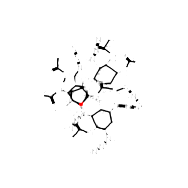 CC(=O)OC[C@H]1O[C@@H](O[C@@H]2[C@@H](OC(C)=O)[C@H](N=[N+]=[N-])C[C@H](N=[N+]=[N-])[C@H]2O[C@H]2O[C@H](CN=[N+]=[N-])[C@H](OC(C)=O)[C@H](F)[C@H]2N=[N+]=[N-])[C@H](OC(C)=O)[C@@H]1O[C@H]1O[C@@H](CN=[N+]=[N-])[C@@H](OC(C)=O)[C@H](OC(C)=O)[C@H]1N=[N+]=[N-]